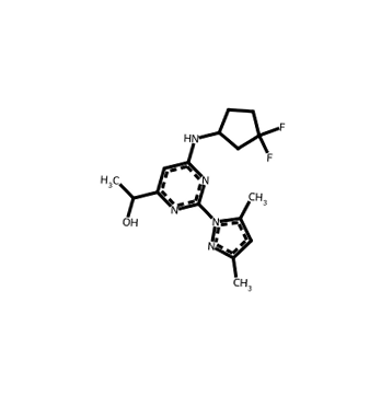 Cc1cc(C)n(-c2nc(NC3CCC(F)(F)C3)cc(C(C)O)n2)n1